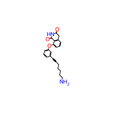 NCCCCCC#Cc1cccc(Oc2cccc3c2C(=O)NC(=O)C3)c1